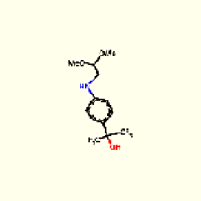 COC(CNc1ccc(C(O)(C(F)(F)F)C(F)(F)F)cc1)OC